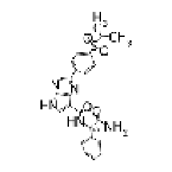 CC(C)S(=O)(=O)c1ccc(-c2cnc3[nH]cc(C(=O)N[C@@H](C(N)=O)c4ccccc4)c3n2)cc1